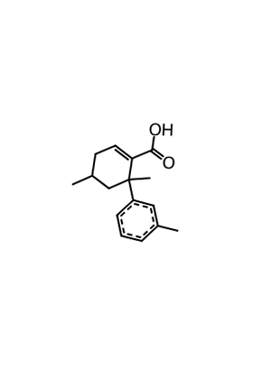 Cc1cccc(C2(C)CC(C)CC=C2C(=O)O)c1